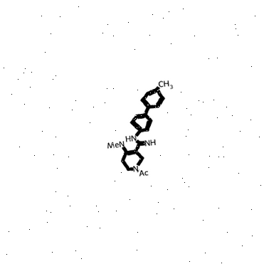 CNC1=C(C(=N)Nc2ccc(-c3ccc(C)cc3)cc2)CN(C(C)=O)CC1